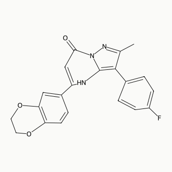 Cc1nn2c(=O)cc(-c3ccc4c(c3)OCCO4)[nH]c2c1-c1ccc(F)cc1